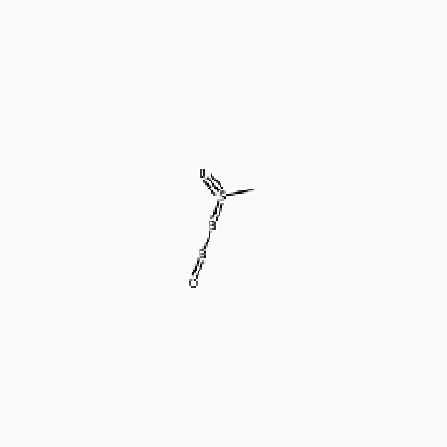 B#S(C)=BB=O